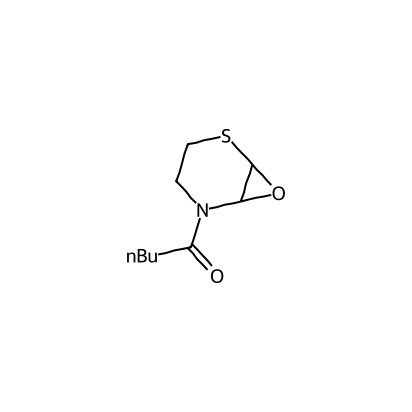 CCCCC(=O)N1CCSC2OC21